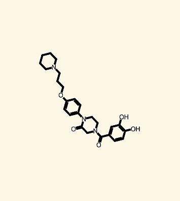 O=C(c1ccc(O)c(O)c1)N1CCN(c2ccc(OCCCN3CCCCC3)cc2)C(=O)C1